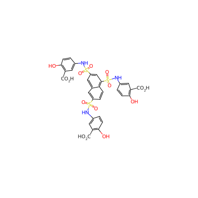 O=C(O)c1cc(NS(=O)(=O)c2ccc3c(S(=O)(=O)Nc4ccc(O)c(C(=O)O)c4)cc(S(=O)(=O)Nc4ccc(O)c(C(=O)O)c4)cc3c2)ccc1O